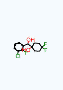 OC(c1cccc(Cl)c1F)C1(O)CCC(F)(F)CC1